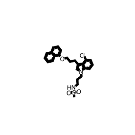 CS(=O)(=O)NCCCn1cc(CCCOc2cccc3ccccc23)c2c(Cl)cccc21